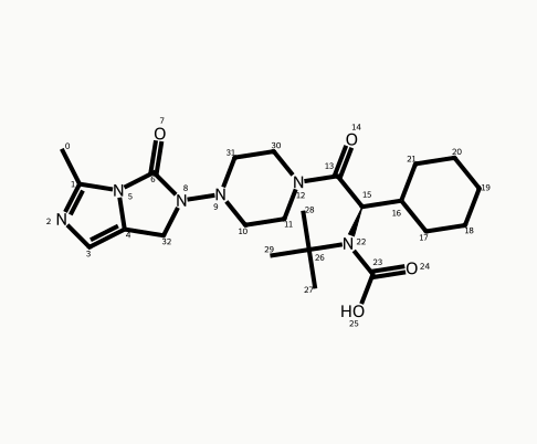 Cc1ncc2n1C(=O)N(N1CCN(C(=O)[C@@H](C3CCCCC3)N(C(=O)O)C(C)(C)C)CC1)C2